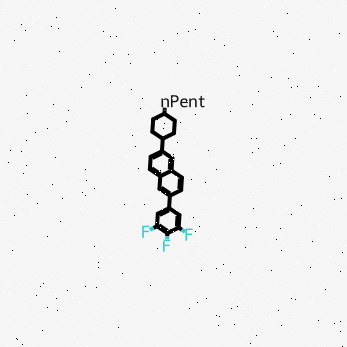 CCCCCC1CCC(c2ccc3cc(-c4cc(F)c(F)c(F)c4)ccc3c2)CC1